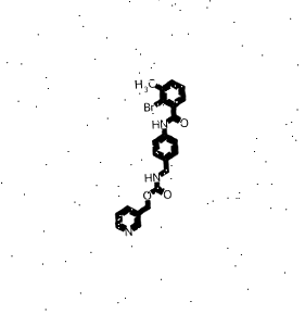 Cc1cccc(C(=O)Nc2ccc(CNC(=O)OCc3cccnc3)cc2)c1Br